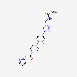 COC(=S)NCc1cn(-c2ccc(N3CCN(C(=O)Cn4cccn4)CC3)c(F)c2)nn1